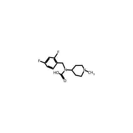 CN1CCC(N(Cc2ccc(F)cc2F)C(=O)O)CC1